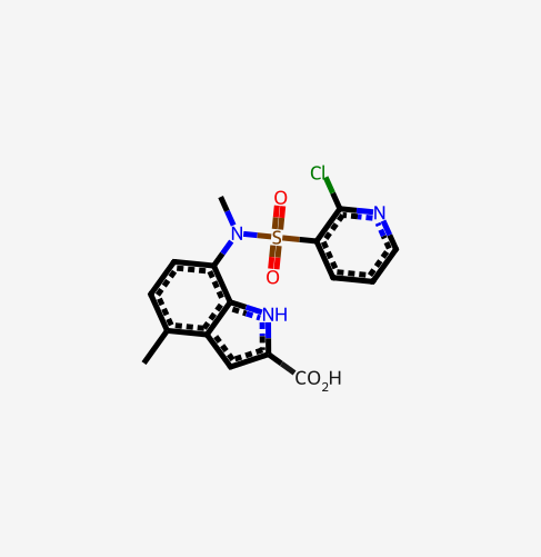 Cc1ccc(N(C)S(=O)(=O)c2cccnc2Cl)c2[nH]c(C(=O)O)cc12